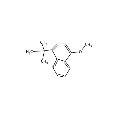 COc1ccc(C(C)(C)C)c2ncccc12